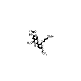 COCCCOc1nc(OCC(F)(F)F)ccc1C(=O)NC(C)c1ccnc(NC(=O)C(C)C)c1